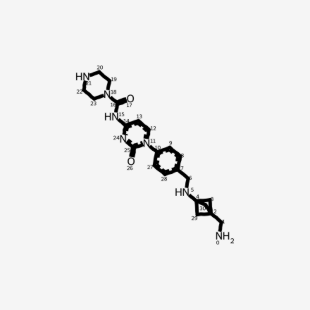 NCC12CC(NCc3ccc(-n4ccc(NC(=O)N5CCNCC5)nc4=O)cc3)(C1)C2